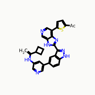 C=C(Nc1cncc(-c2ccc3[nH]nc(-c4nc5c(-c6ccc(C(C)=O)s6)cncc5[nH]4)c3c2)c1)C1CCC1